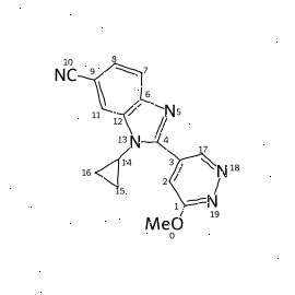 COc1cc(-c2nc3ccc(C#N)cc3n2C2CC2)cnn1